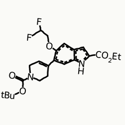 CCOC(=O)c1cc2cc(OCC(F)F)c(C3=CCN(C(=O)OC(C)(C)C)CC3)cc2[nH]1